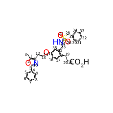 Cc1oc(-c2ccccc2)nc1CCOc1ccc(CCC(=O)O)c(CNS(=O)(=O)Cc2ccccc2)c1